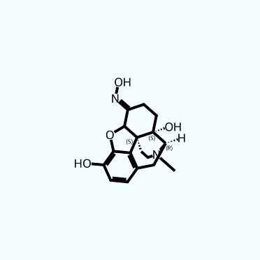 CN1CC[C@]23c4c5ccc(O)c4OC2C(=NO)CC[C@@]3(O)[C@H]1C5